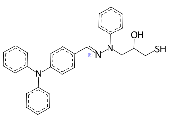 OC(CS)CN(/N=C/c1ccc(N(c2ccccc2)c2ccccc2)cc1)c1ccccc1